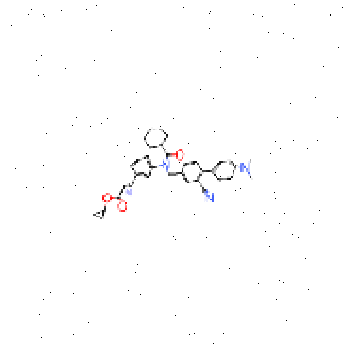 CN(C)c1ccc(-c2ccc(CN(C(=O)C3CCCCC3)c3cccc(/C=C/C(=O)OC4CC4)c3)cc2C#N)cc1